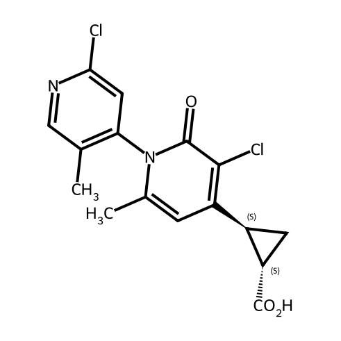 Cc1cnc(Cl)cc1-n1c(C)cc([C@H]2C[C@@H]2C(=O)O)c(Cl)c1=O